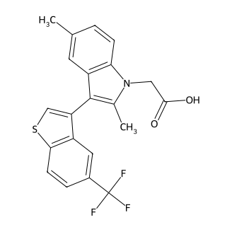 Cc1ccc2c(c1)c(-c1csc3ccc(C(F)(F)F)cc13)c(C)n2CC(=O)O